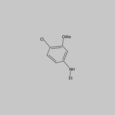 CCNc1ccc(Cl)c(OC)c1